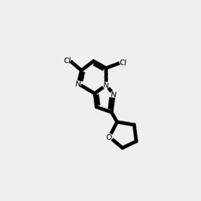 Clc1cc(Cl)n2nc(C3CCCO3)cc2n1